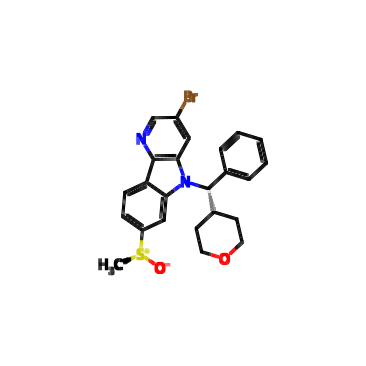 C[S@+]([O-])c1ccc2c3ncc(Br)cc3n([C@H](c3ccccc3)C3CCOCC3)c2c1